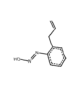 C=CCc1ccccc1N=NO